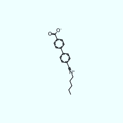 CCCCC[N+]#Cc1ccc(-c2ccc(C(=O)[O-])cc2)cc1